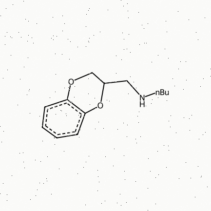 CCCCNCC1COc2cc[c]cc2O1